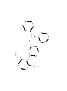 CC(C)c1cccc(C(C)C)c1-c1cccc(CP(c2ccccc2)c2ccccc2)n1